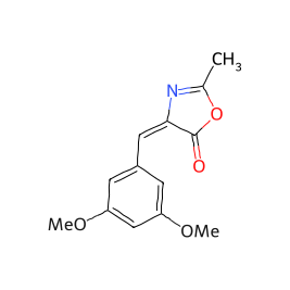 COc1cc(C=C2N=C(C)OC2=O)cc(OC)c1